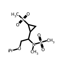 CC(C)OCC(C1CC1S(C)(=O)=O)N(C)S(C)(=O)=O